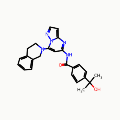 CC(C)(O)c1ccc(C(=O)Nc2cc(N3CCc4ccccc4C3)n3nccc3n2)cc1